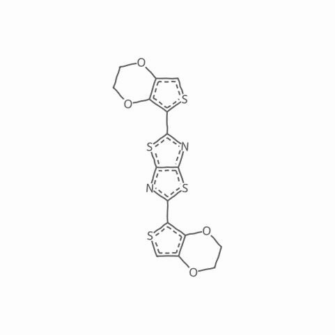 c1sc(-c2nc3sc(-c4scc5c4OCCO5)nc3s2)c2c1OCCO2